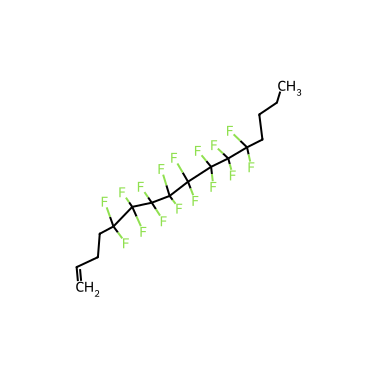 C=CCCC(F)(F)C(F)(F)C(F)(F)C(F)(F)C(F)(F)C(F)(F)C(F)(F)C(F)(F)CCCC